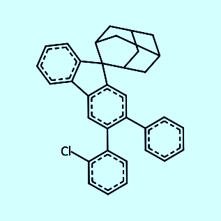 Clc1ccccc1-c1cc2c(cc1-c1ccccc1)C1(c3ccccc3-2)C2CC3CC(C2)CC1C3